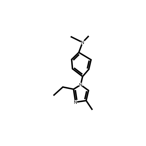 CCc1nc(C)cn1-c1ccc(N(C)C)cc1